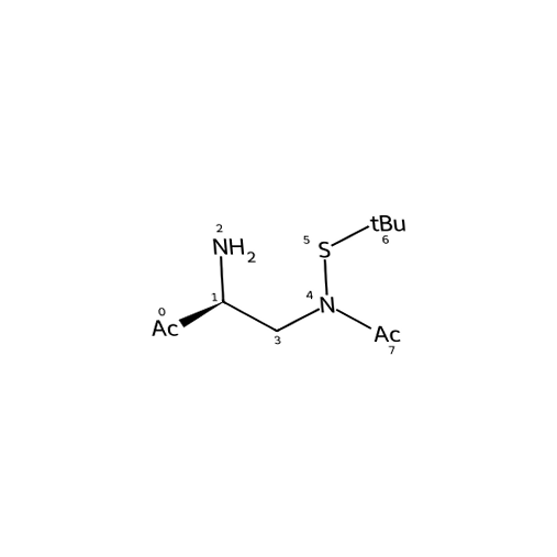 CC(=O)[C@@H](N)CN(SC(C)(C)C)C(C)=O